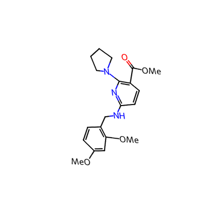 COC(=O)c1ccc(NCc2ccc(OC)cc2OC)nc1N1CCCC1